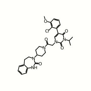 COc1cccc(-c2cn(CC(=O)N3CCC(N4CCc5ccccc5NC4=O)CC3)c(=O)n(C(C)C)c2=O)c1Cl